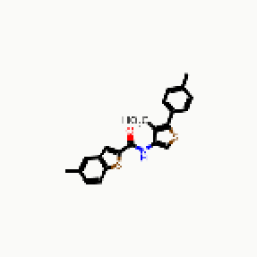 Cc1ccc(-c2scc(NC(=O)c3cc4cc(C)ccc4s3)c2C(=O)O)cc1